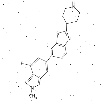 Cn1cc2cc(-c3ccc4nc(C5CCNCC5)sc4c3)cc(F)c2n1